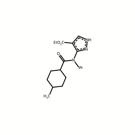 CCOC(=O)c1c[nH]nc1N(C(=O)C1CCC(C)CC1)C(C)C